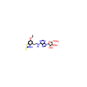 CCOc1cc(CCNc2ncnc3c2ncn3[C@@H]2O[C@H](CO)[C@@H](O)[C@H]2O)c2[nH]c(=S)sc2c1